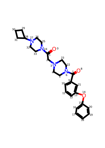 O=C(CN1CCN(C(=O)c2cccc(Oc3ccccc3)c2)CC1)N1CCN(C2CCC2)CC1